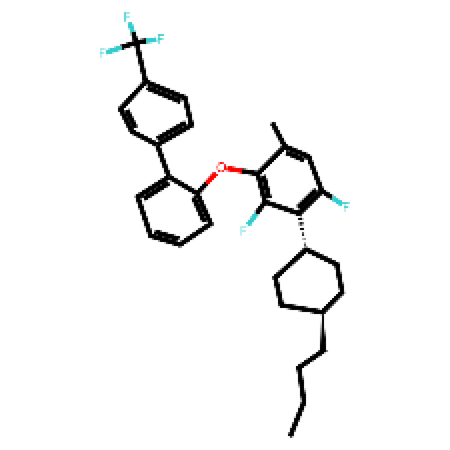 CCCC[C@H]1CC[C@H](c2c(F)cc(C)c(Oc3ccccc3-c3ccc(C(F)(F)F)cc3)c2F)CC1